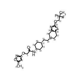 Cc1cc(OCC(=O)N[C@H]2CC[C@H](CCN3CCc4sc(OCC(C)(F)F)nc4C3)CC2)no1